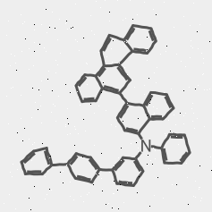 c1ccc(-c2ccc(-c3cccc(N(c4ccccc4)c4ccc(-c5cc6c7ccccc7ccc6c6ccccc56)c5ccccc45)c3)cc2)cc1